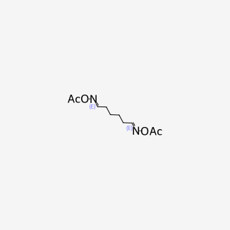 CC(=O)O/N=C/CCCC/C=N/OC(C)=O